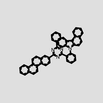 c1ccc(-c2nc(-c3ccc4c(ccc5c6ccccc6ccc45)c3)nc(-c3ccccc3-n3c4ccccc4c4c5ccccc5ccc43)n2)cc1